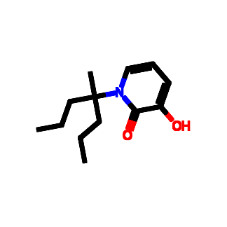 CCCC(C)(CCC)n1cccc(O)c1=O